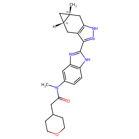 CN(C(=O)CC1CCOCC1)c1ccc2[nH]c(-c3n[nH]c4c3C[C@@H]3C[C@]3(C)C4)nc2c1